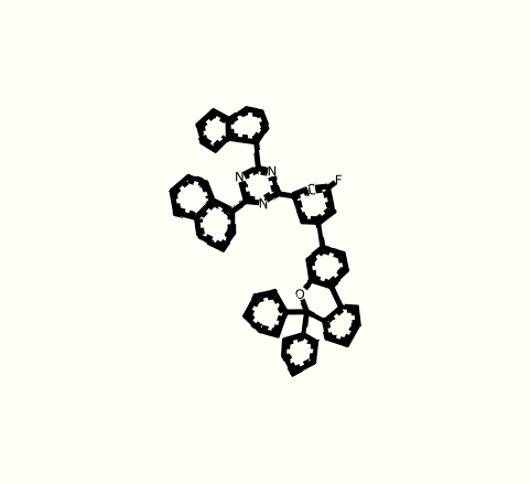 Fc1cc(-c2ccc3c(c2)OC(c2ccccc2)(c2ccccc2)c2ccccc2-3)cc(-c2nc(-c3cccc4ccccc34)nc(-c3cccc4ccccc34)n2)c1